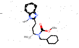 CCCn1c(CC[C@@H](C(=O)O)N(CC2CCCCC2)C(=O)OC(C)(C)C)nc2ccccc21